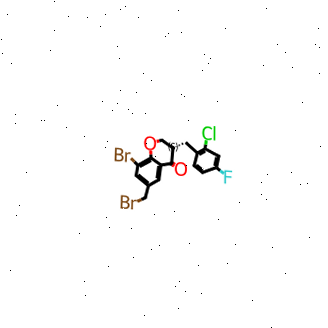 O=C1c2cc(CBr)cc(Br)c2OC[C@@H]1Cc1ccc(F)cc1Cl